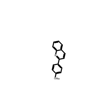 COc1ccc(-c2c[c]c3ccccc3n2)cc1